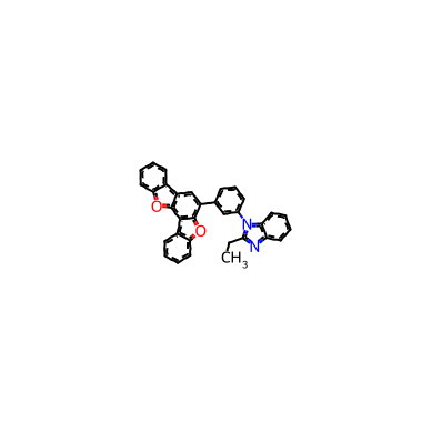 CCc1nc2ccccc2n1-c1cccc(-c2cc3c4ccccc4oc3c3c2oc2ccccc23)c1